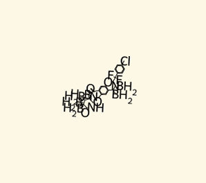 BC(c1ccc2c(c1)CN(C1(B)C(=O)NC(=O)C(B)(B)C1B)C2=O)N(B)C(=O)C(F)(F)c1ccc(Cl)cc1